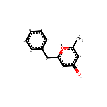 Cc1cc(=O)cc(Cc2ccccc2)o1